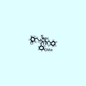 COc1cccc(CC2(C)/C(=N/Cc3ccccc3)NC(=S)N2CCc2cccc(Cl)c2)c1